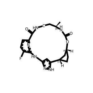 C[C@@H]1CCNC(=O)c2ccc(F)c(n2)Nc2cc([nH]n2)[C@H]2CC[C@H](C2)OC(=O)N1